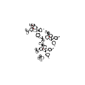 Cc1ccc([P+](Cc2cc([N+](=O)[O-])cc([N+](=O)[O-])c2)(c2ccc(C)cc2)c2ccc(C)cc2)cc1.Cc1ccc([P+](Cc2cc([N+](=O)[O-])cc([N+](=O)[O-])c2)(c2ccc(C)cc2)c2ccc(C)cc2)cc1.Cc1ccc([P+](Cc2cc([N+](=O)[O-])cc([N+](=O)[O-])c2)(c2ccc(C)cc2)c2ccc(C)cc2)cc1.O=P([O-])([O-])[O-]